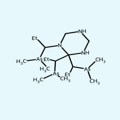 CCC(N1CNCNC1(C(CC)[As](C)C)C(CC)[As](C)C)[As](C)C